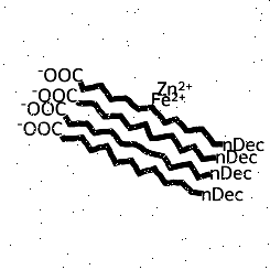 CCCCCCCCCCCCCCCCCCCCCC(=O)[O-].CCCCCCCCCCCCCCCCCCCCCC(=O)[O-].CCCCCCCCCCCCCCCCCCCCCC(=O)[O-].CCCCCCCCCCCCCCCCCCCCCC(=O)[O-].[Fe+2].[Zn+2]